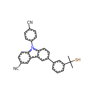 CC(C)(S)c1cccc(-c2ccc3c(c2)c2cc(C#N)ccc2n3-c2ccc(C#N)cc2)c1